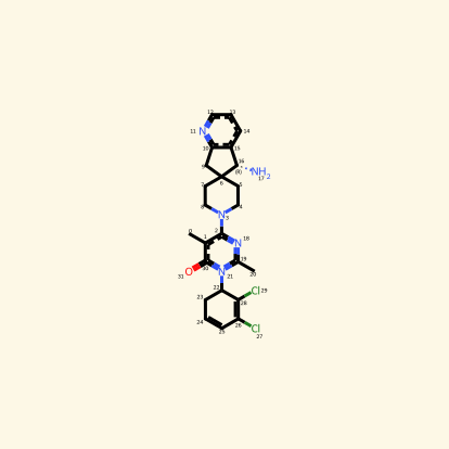 Cc1c(N2CCC3(CC2)Cc2ncccc2[C@@H]3N)nc(C)n(C2CC=CC(Cl)=C2Cl)c1=O